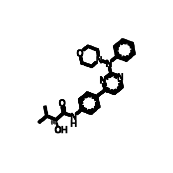 CC(C)[C@@H](O)C(=O)Nc1ccc(-c2ccnc(N(c3ccccc3)N3CCOCC3)n2)cc1